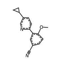 COc1ccc(C#N)cc1-c1ccc(C2CC2)cn1